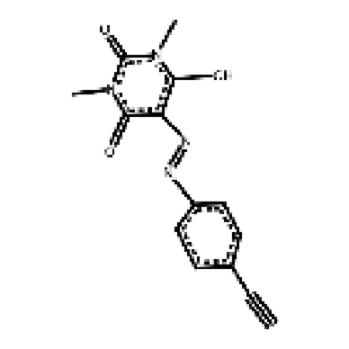 C#Cc1ccc(/N=N/c2c(O)n(C)c(=O)n(C)c2=O)cc1